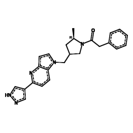 C[C@@H]1CC(Cn2ccc3nc(-c4cn[nH]c4)ccc32)CN1C(=O)Cc1ccccc1